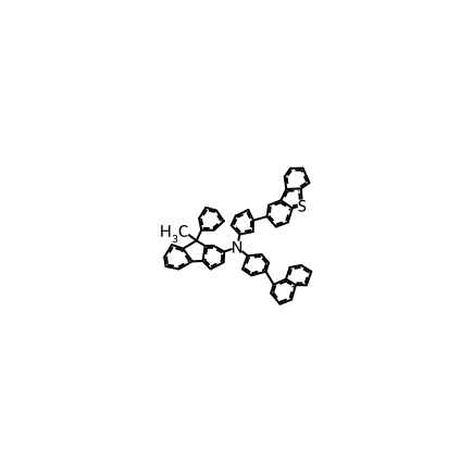 CC1(c2ccccc2)c2ccccc2-c2ccc(N(c3ccc(-c4cccc5ccccc45)cc3)c3cccc(-c4ccc5sc6ccccc6c5c4)c3)cc21